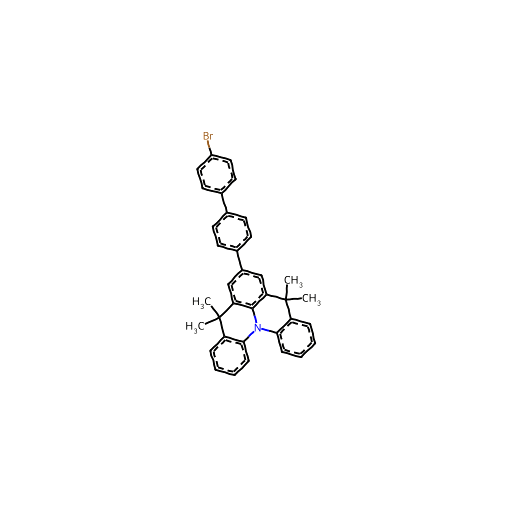 CC1(C)c2ccccc2N2c3ccccc3C(C)(C)c3cc(-c4ccc(-c5ccc(Br)cc5)cc4)cc1c32